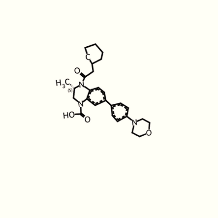 C[C@H]1CN(C(=O)O)c2cc(-c3ccc(N4CCOCC4)cc3)ccc2N1C(=O)CC1CCCCC1